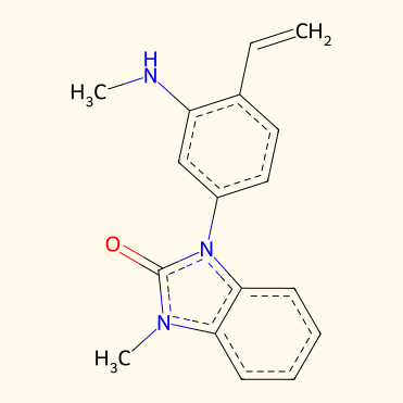 C=Cc1ccc(-n2c(=O)n(C)c3ccccc32)cc1NC